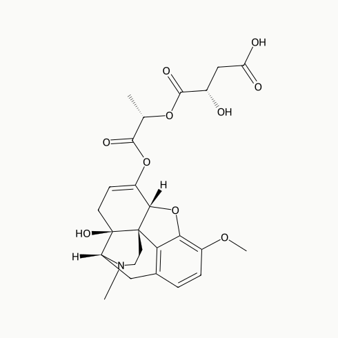 COc1ccc2c3c1O[C@H]1C(OC(=O)[C@H](C)OC(=O)[C@@H](O)CC(=O)O)=CC[C@@]4(O)[C@@H](C2)N(C)CC[C@]314